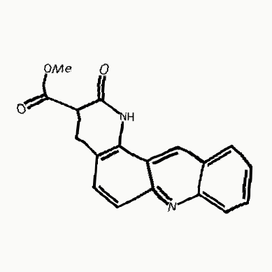 COC(=O)C1Cc2ccc3nc4ccccc4cc3c2NC1=O